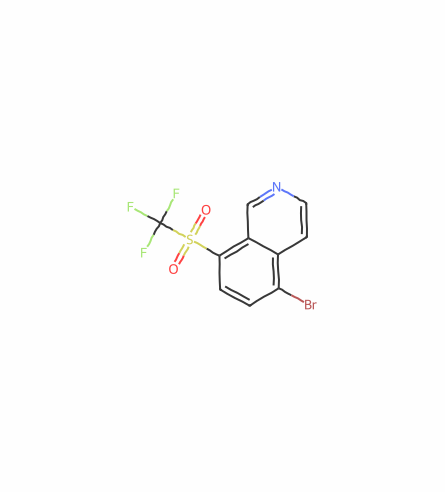 O=S(=O)(c1ccc(Br)c2ccncc12)C(F)(F)F